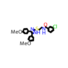 COc1ccc(-c2nc(SCCNC(=O)c3cccc(Cl)c3)[nH]c2-c2ccc(OC)cc2)cc1